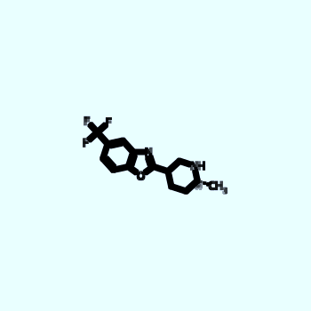 C[C@@H]1CCC(c2nc3cc(C(F)(F)F)ccc3o2)CN1